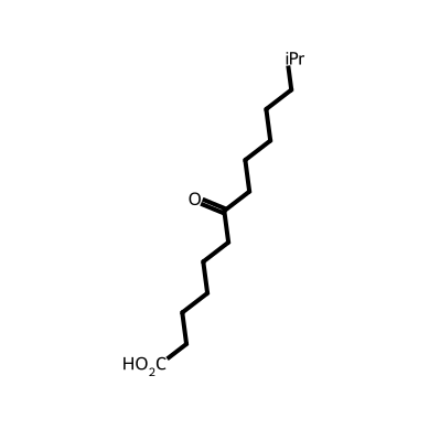 CC(C)CCCCCC(=O)CCCCCC(=O)O